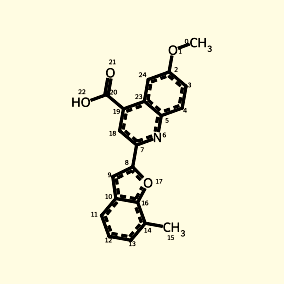 COc1ccc2nc(-c3cc4cccc(C)c4o3)cc(C(=O)O)c2c1